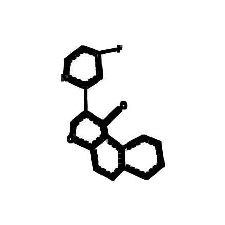 O=c1c(-c2cc(F)ccn2)coc2ccc3ccccc3c12